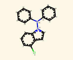 Clc1cccc2c1ccn2N(c1ccccc1)c1ccccc1